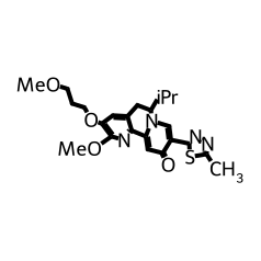 COCCCOc1cc2c(nc1OC)-c1cc(=O)c(-c3nnc(C)s3)cn1C(C(C)C)C2